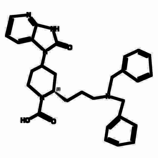 O=C(O)N1CCC(n2c(=O)[nH]c3ncccc32)C[C@@H]1CCCN(Cc1ccccc1)Cc1ccccc1